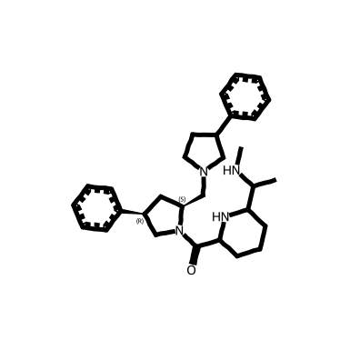 CNC(C)C1CCCC(C(=O)N2C[C@@H](c3ccccc3)C[C@H]2CN2CCC(c3ccccc3)C2)N1